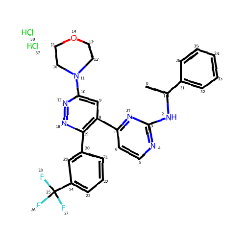 CC(Nc1nccc(-c2cc(N3CCOCC3)nnc2-c2cccc(C(F)(F)F)c2)n1)c1ccccc1.Cl.Cl